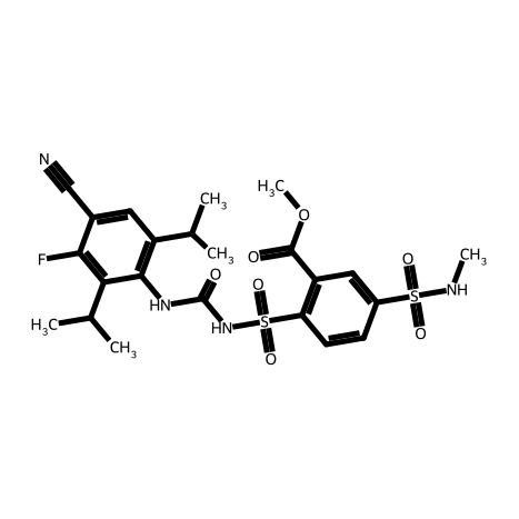 CNS(=O)(=O)c1ccc(S(=O)(=O)NC(=O)Nc2c(C(C)C)cc(C#N)c(F)c2C(C)C)c(C(=O)OC)c1